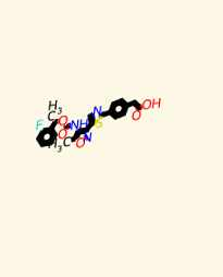 Cc1onc(-c2cnc(-c3ccc(CC(=O)O)cc3)s2)c1NC(=O)OC(C)c1ccccc1F